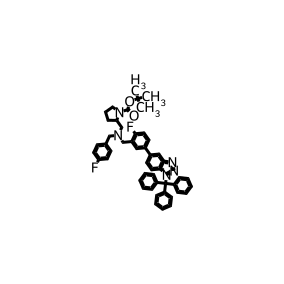 CC(C)(C)OC(=O)N1CCCC1CN(Cc1ccc(F)cc1)Cc1cc(-c2ccc3c(c2)nnn3C(c2ccccc2)(c2ccccc2)c2ccccc2)ccc1F